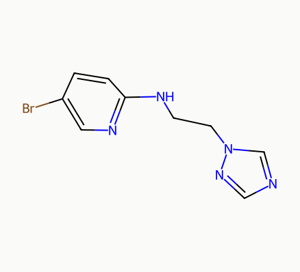 Brc1ccc(NCCn2cncn2)nc1